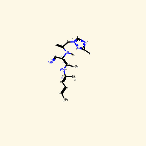 C=C(Cn1cnc(C)n1)N(C)/C(C=N)=C(\CCC)N/C(=C/C=CC(C)C)CC